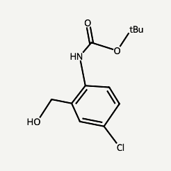 CC(C)(C)OC(=O)Nc1ccc(Cl)cc1CO